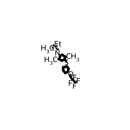 CCN(C)C=Nc1cc(C)c(Sc2cccc(OCC(F)(F)C(F)F)c2)cc1C